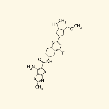 CNC1CN(c2cc(F)c3c(n2)CCC(NC(=O)c2sc4nc(C)sc4c2N)C3)CC1COC